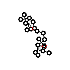 c1ccc(-c2ccc(N(c3cccc4c3-c3ccccc3C4(c3ccccc3)c3cccc(-c4cccc(-c5ccc6ccc(-c7ccccc7N(c7cccc8c7-c7ccccc7C8(c7ccccc7)c7ccccc7)c7cccc8ccccc78)cc6c5)c4)c3)c3cccc4ccccc34)c3ccccc23)cc1